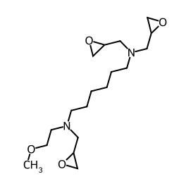 COCCN(CCCCCCN(CC1CO1)CC1CO1)CC1CO1